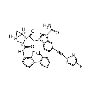 NC(=O)c1nn(CC(=O)N2[C@@H]3C[C@@H]3C[C@H]2C(=O)Nc2cccc(-c3ccccc3Cl)c2F)c2ccc(C#Cc3ncc(F)cn3)cc12